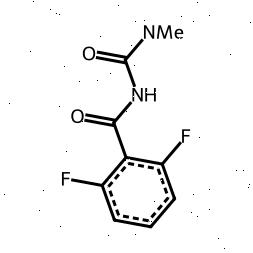 CNC(=O)NC(=O)c1c(F)cccc1F